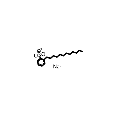 CCCCCCCCCCCCc1ccccc1S(=O)(=O)OC.[Na]